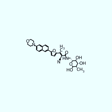 C/C(=C(/C#N)C(=O)NC[C@H]1OC(O)[C@H](C)[C@@H](O)[C@@H]1O)c1ccc(-c2ccc3cc(N4CCOCC4)ccc3c2)o1